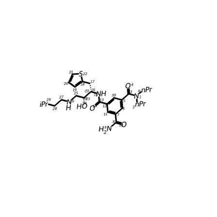 CCCN(CCC)C(=O)c1cc(C(N)=O)cc(C(=O)N[C@@H](Cc2cccs2)[C@H](O)CNCCC(C)C)c1